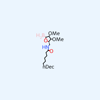 B[C@@H]1O[C@H](CNC(=O)CCCCCCCCCCCCCCC)C(OC)C1OC